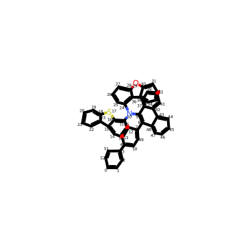 c1ccc(-c2ccc(-c3c(N(c4cccc5c4sc4ccccc45)c4cccc5oc6ccccc6c45)c4ccccc4c4ccccc34)cc2)cc1